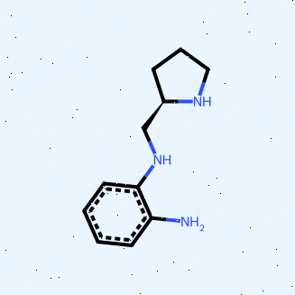 Nc1ccccc1NC[C@H]1CCCN1